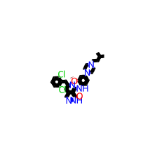 COc1cc(N2CCN(CCC(C)C)CC2)ccc1Nc1nc(Cc2c(Cl)cccc2Cl)cc2cn[nH]c(=O)c12